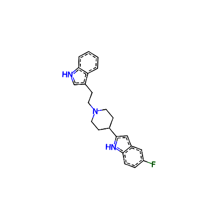 Fc1ccc2[nH]c(C3CCN(CCc4c[nH]c5ccccc45)CC3)cc2c1